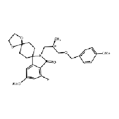 COc1ccc(COC[C@H](C)CN2C(=O)c3c(F)cc(OC)cc3C23CCC2(CC3)OCCO2)cc1